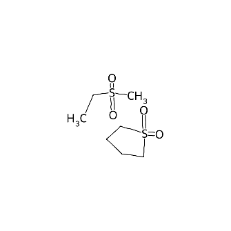 CCS(C)(=O)=O.O=S1(=O)CCCC1